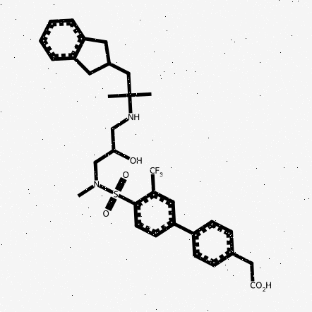 CN(CC(O)CNC(C)(C)CC1Cc2ccccc2C1)S(=O)(=O)c1ccc(-c2ccc(CC(=O)O)cc2)cc1C(F)(F)F